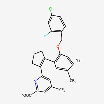 O=C([O-])c1cc(C(F)(F)F)cc(C2=C(c3cc(C(F)(F)F)ccc3OCc3ccc(Cl)cc3F)CCC2)n1.[Na+]